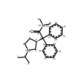 CC(C)N1CC[C@@H](C(C(=O)N(C)C)(c2ccccc2)c2ccccc2)C1